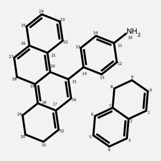 C1=Cc2ccccc2CC1.Nc1ccc(-c2cc3c(c4c2=c2ccccc2=CC4)CCCC=3)cc1